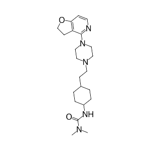 CN(C)C(=O)NC1CCC(CCN2CCN(c3nccc4c3CCO4)CC2)CC1